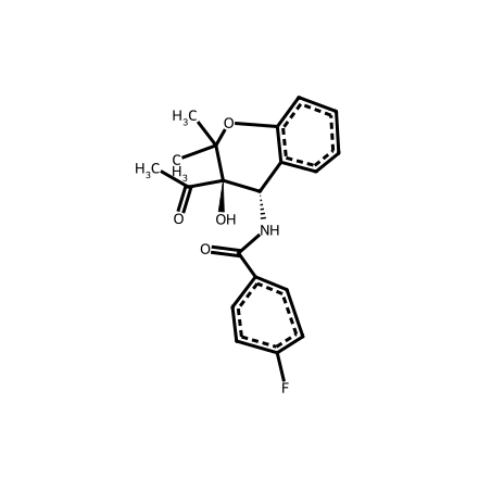 CC(=O)[C@@]1(O)[C@@H](NC(=O)c2ccc(F)cc2)c2ccccc2OC1(C)C